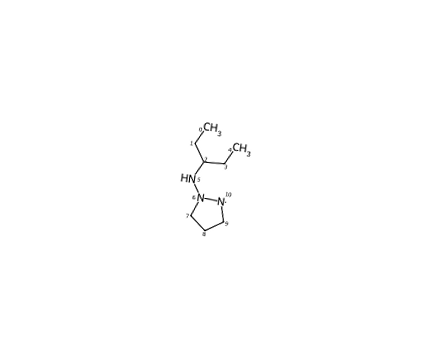 CCC(CC)NN1CCC[N]1